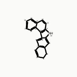 C1=Cc2cc3c(cc2CC1)[nH]c1ccc2ccccc2c13